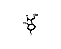 CC(C)(C)/C=C1\C(=O)Nc2cc(Cl)ccc21